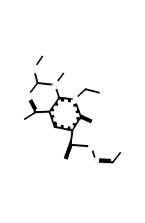 C=C(N/N=C\C)c1cc2c(n(CC)c1=O)N(C)C(SC)N=C2C